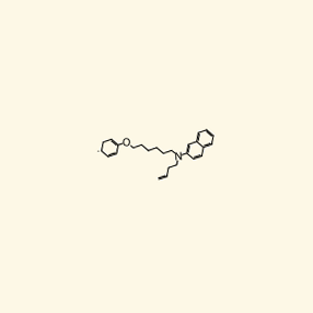 C=CCCN(CCCCCCOC1=CC[CH]C=C1)c1ccc2ccccc2c1